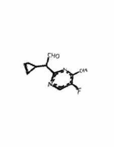 O=CC(c1ncc(F)c(O)n1)C1CC1